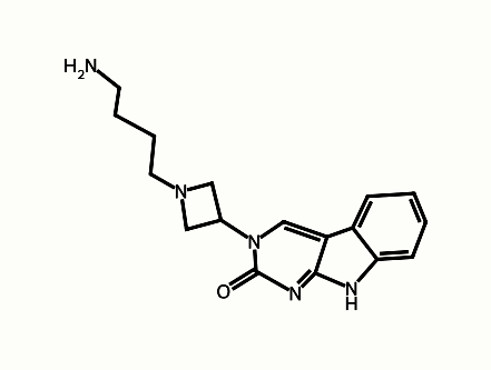 NCCCCN1CC(n2cc3c(nc2=O)[nH]c2ccccc23)C1